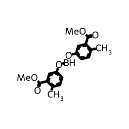 COC(=O)c1cc(OBOc2ccc(C)c(C(=O)OC)c2)ccc1C